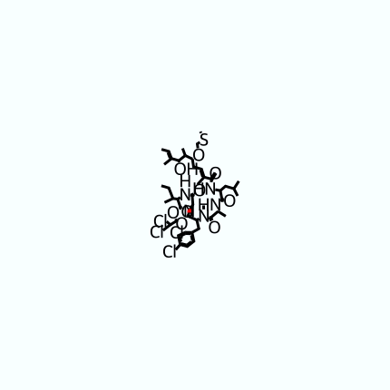 C/C=C(\C)C(O)C(C)C(C/C=C(\C)C(=O)NC(CC(C)C)C(=O)NC(C)C(=O)N(C)C(Cc1ccc(Cl)cc1)C(=O)N(C)CC(=O)NC(C(=O)OCC(Cl)(Cl)Cl)C(C)CC)OCSC